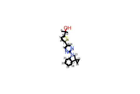 CC(C)(O)c1ccc(-c2cnc(N3CC4(CC4)c4cc[c]cc43)nc2)s1